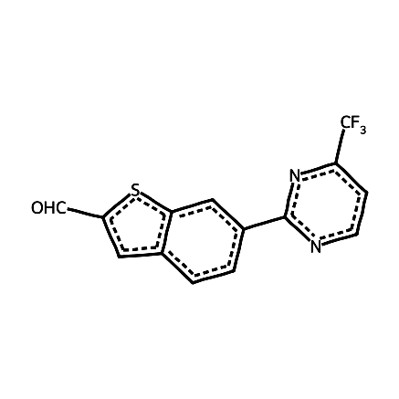 O=Cc1cc2ccc(-c3nccc(C(F)(F)F)n3)cc2s1